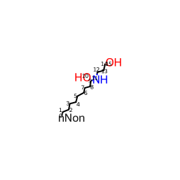 CCCCCCCCCCCCCCCCCC(O)NCCCO